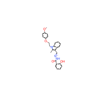 COc1ccc(OCCn2c(C)c(/C=N/NC(=O)c3ccccc3O)c3ccccc32)cc1